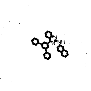 c1ccc(-c2cc(-c3ccccc3)cc(-c3nc(Nc4ccc5ccccc5c4)nc4ccccc34)c2)cc1